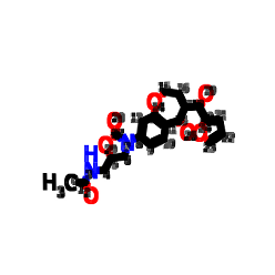 CC(=O)NCC1CN(c2ccc3c(c2)OCCC(C(=O)c2ccco2)C3=O)C(=O)O1